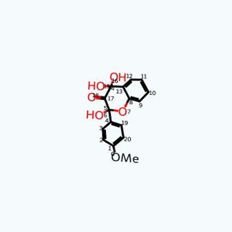 COc1ccc(C2(O)Oc3ccccc3C(O)(O)C2=O)cc1